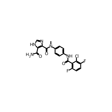 CN(C(=O)c1nc[nH]c1C(N)=O)c1ccc(NC(=O)c2c(F)ccc(F)c2Cl)cc1